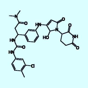 Cc1ccc(NC(=O)NC(CC(=O)N(C)C)c2cccc(NC3=CC(=O)N(C4CCC(=O)NC4=O)C3O)c2)cc1Cl